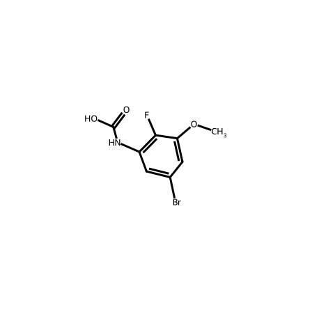 COc1cc(Br)cc(NC(=O)O)c1F